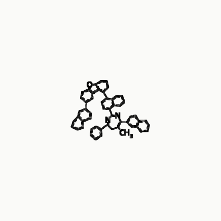 CC1=C(c2ccc3ccccc3c2)N=C(c2ccc(-c3cccc4oc5ccc(-c6ccc7ccccc7c6)cc5c34)c3ccccc23)N=C(c2ccccc2)C1